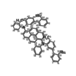 Cc1ccc(-c2ccccc2C(C)(C)C)cc1N(c1ccccc1)c1ccc2ccc3c(N(c4ccccc4)c4cc(-c5ccccc5C(C)(C)C)ccc4C)ccc4ccc1c2c43